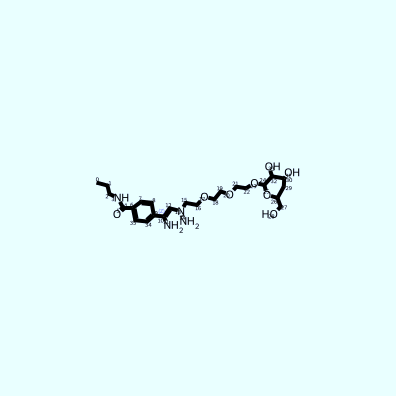 CCCNC(=O)c1ccc(/C(N)=C/N(N)CCOCCOCCOC2OC(CO)CC(O)C2O)cc1